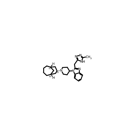 Cc1nnc(Cc2nc3ccccc3n2C2CCN([C@@H]3C[C@@H]4CCCC[C@@H](C4)C3)CC2)[nH]1